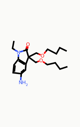 CCCCOCC1(COCCCC)C(=O)N(CC)c2ccc(N)cc21